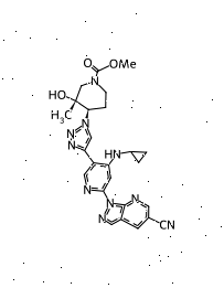 COC(=O)N1CC[C@@H](n2cc(-c3cnc(-n4ncc5cc(C#N)cnc54)cc3NC3CC3)nn2)[C@](C)(O)C1